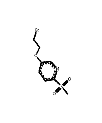 CS(=O)(=O)c1ccc(OCCBr)cn1